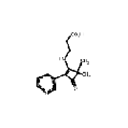 CC1(C)C(=O)C(c2cccnc2)=C1NCCC(=O)O